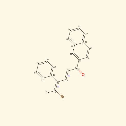 C/C(Br)=C(/C=C/C(=O)c1ccc2ccccc2c1)c1ccccc1